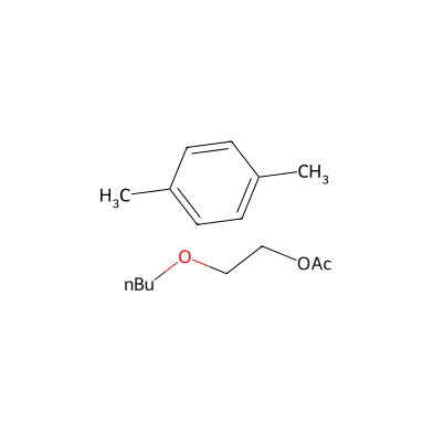 CCCCOCCOC(C)=O.Cc1ccc(C)cc1